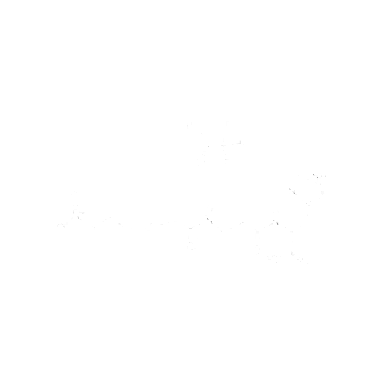 O=C(CCCCCO[N+](=O)[O-])NCCC(=O)NC(Cc1c[nH]cn1)C(=O)O.O=C(O)C(F)(F)F